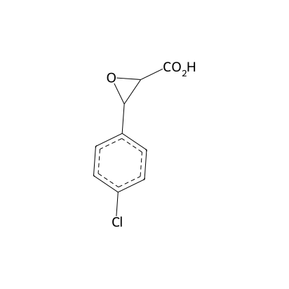 O=C(O)C1OC1c1ccc(Cl)cc1